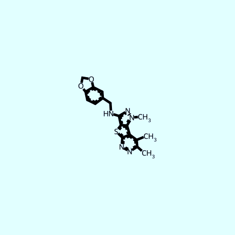 Cc1nnc2sc3c(NCc4ccc5c(c4)OCO5)nn(C)c3c2c1C